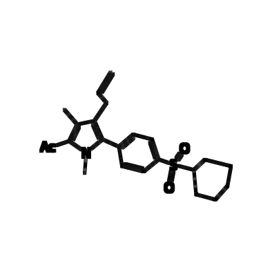 C=CCc1c(C)c(C(C)=O)n(C)c1-c1ccc(S(=O)(=O)C2CCCCC2)cc1